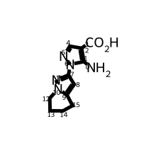 Nc1c(C(=O)O)cnn1-c1cc2n(n1)CCCC2